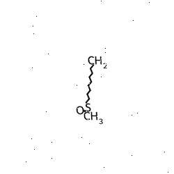 C=CCCCCCCCCCSC(C)=O